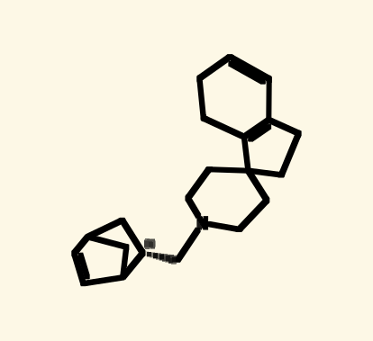 C1=CC2=C(CC1)C1(CC2)CCN(C[C@H]2CC3C=CC2C3)CC1